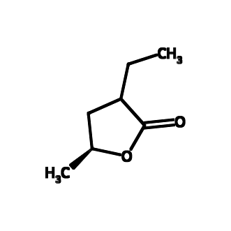 CCC1C[C@H](C)OC1=O